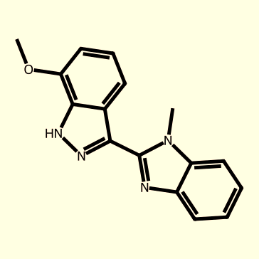 COc1cccc2c(-c3nc4ccccc4n3C)n[nH]c12